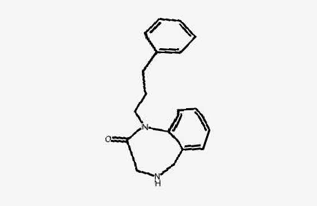 O=C1CNCc2ccccc2N1CCCc1ccccc1